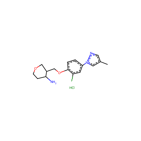 Cc1cnn(-c2ccc(OCC3COCCC3N)c(F)c2)c1.Cl